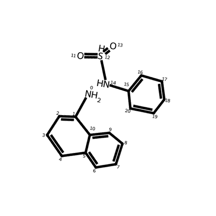 Nc1cccc2ccccc12.O=[SH](=O)Nc1ccccc1